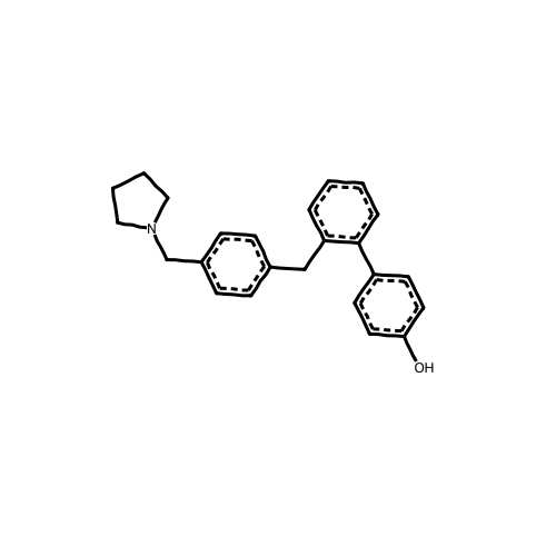 Oc1ccc(-c2ccccc2Cc2ccc(CN3CCCC3)cc2)cc1